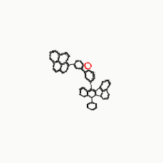 c1ccc(-c2c3c(c(-c4ccc5oc6ccc(-c7ccc8ccc9cccc%10ccc7c8c9%10)cc6c5c4)c4ccccc24)-c2cccc4cccc-3c24)cc1